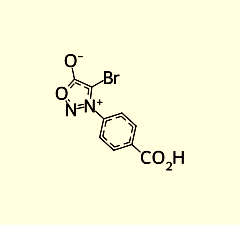 O=C(O)c1ccc(-[n+]2noc([O-])c2Br)cc1